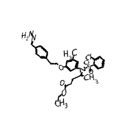 CCOC(=O)CCC(C)N(c1cc(C)cc(OCCc2ccc(C=NN)cc2)c1)S(=O)(=O)c1ccccc1Cl